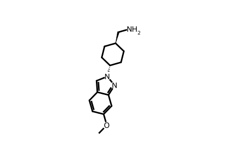 COc1ccc2cn([C@H]3CC[C@H](CN)CC3)nc2c1